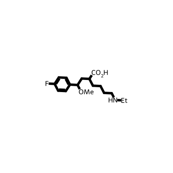 CCNCCCCC(CC(OC)c1ccc(F)cc1)C(=O)O